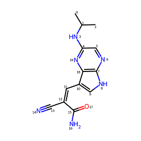 CC(C)Nc1cnc2[nH]cc(C=C(C#N)C(N)=O)c2n1